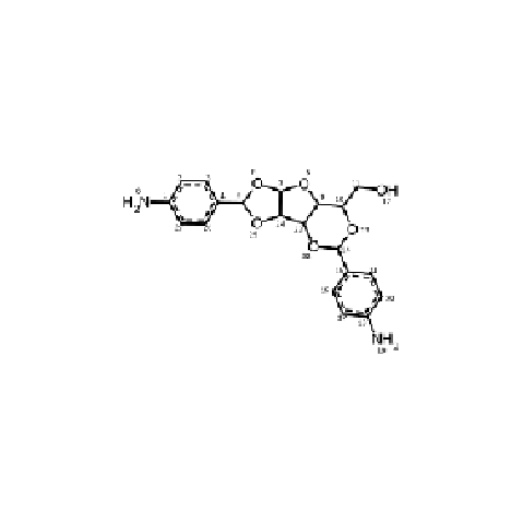 Nc1ccc(C2OC3OC4C(CO)OC(c5ccc(N)cc5)OC4C3O2)cc1